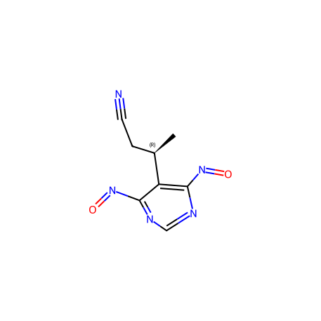 C[C@H](CC#N)c1c(N=O)ncnc1N=O